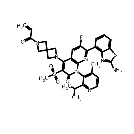 C=CC(=O)N1CC2(C1)CN(c1c(S(C)(=O)=O)c(=O)n(-c3c(C)ccnc3C(C)C)c3nc(-c4cccc5sc(N)nc45)c(F)cc13)C2